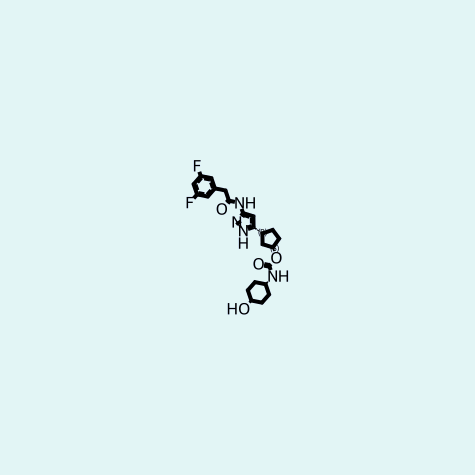 O=C(Cc1cc(F)cc(F)c1)Nc1cc([C@@H]2CC[C@H](OC(=O)N[C@H]3CC[C@H](O)CC3)C2)[nH]n1